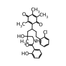 CC1=C(C)C(=O)C(C(CCc2ccccc2Cl)CC(C)(O)CNC(=O)c2ccccc2O)=C(C)C1=O